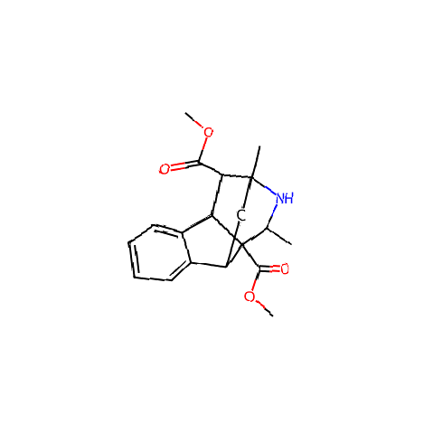 COC(=O)C1C2c3ccccc3C3CC1(C)NC(C)C32C(=O)OC